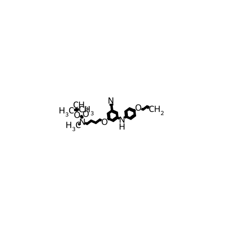 C=CCOc1ccc(Nc2cc(C#N)cc(OCCCCN(C)C(=O)OC(C)(C)C)c2)cc1